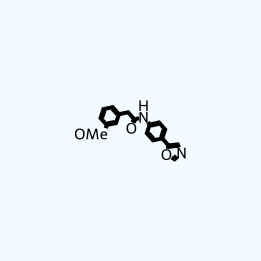 COc1cccc(CC(=O)Nc2ccc(-c3cnco3)cc2)c1